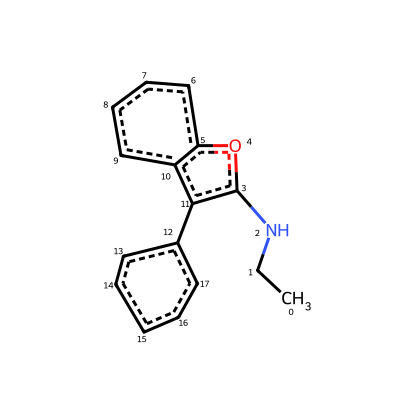 CCNc1oc2ccccc2c1-c1ccccc1